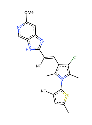 COc1cc2nc(C(C#N)=Cc3c(Cl)c(C)n(-c4sc(C)cc4C#N)c3C)[nH]c2cn1